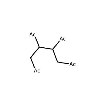 CC(=O)CC(C(C)=O)C(CC(C)=O)C(C)=O